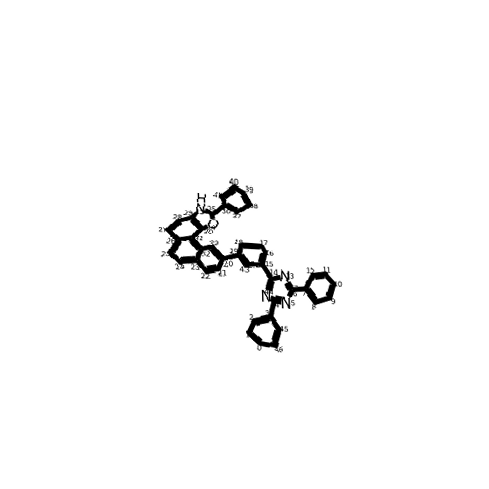 c1ccc(-c2nc(-c3ccccc3)nc(-c3cccc(-c4ccc5ccc6ccc7c(c6c5c4)OC(c4ccccc4)N7)c3)n2)cc1